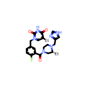 CCc1cn(Cc2ccc(F)c(C(=O)N3CCN(Cc4c[nH]cn4)[C@H](CC)C3)c2)c(=O)[nH]c1=O